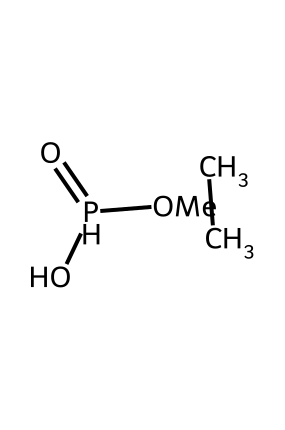 CC.CO[PH](=O)O